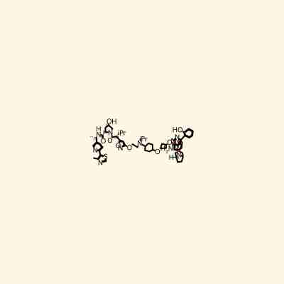 Cc1ncsc1-c1ccc([C@H](C)NC(=O)[C@@H]2C[C@@H](O)CN2C(=O)[C@@H](c2cc(OCCN(C(C)C)C3CCC(OC4CC(Oc5cc(N6C7CC[C@@H]6CN(c6cc(-c8ccccc8O)nnc6N)C7)ccn5)C4)CC3)no2)C(C)C)cn1